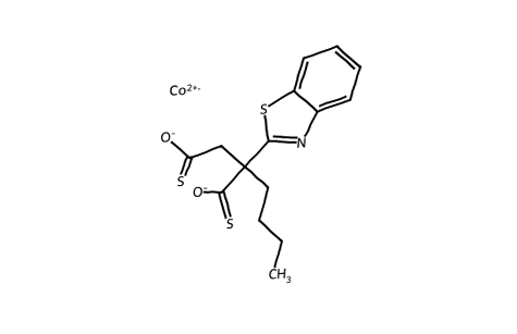 CCCCC(CC([O-])=S)(C([O-])=S)c1nc2ccccc2s1.[Co+2]